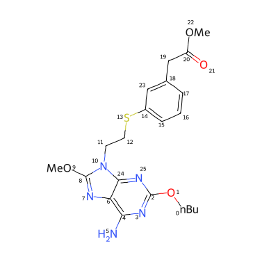 CCCCOc1nc(N)c2nc(OC)n(CCSc3cccc(CC(=O)OC)c3)c2n1